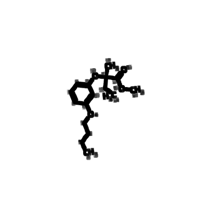 CCCCOc1cccc(O[C@@](C)(CC)C(=O)OC)c1